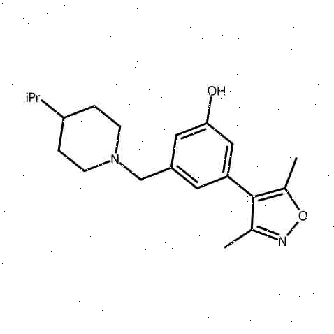 Cc1noc(C)c1-c1cc(O)cc(CN2CCC(C(C)C)CC2)c1